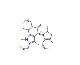 C=C1CC(C)=C(/C=C\C)/C1=c1/c(=C)c(/C=C\C)c(C)c2c1c(C)c(/C=C\C)n2C